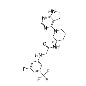 O=C(CNc1cc(F)cc(C(F)(F)F)c1)N[C@@H]1CCCN(c2ncnc3[nH]ccc23)C1